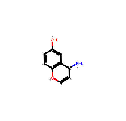 N[C@H]1C=COc2ccc(O)cc21